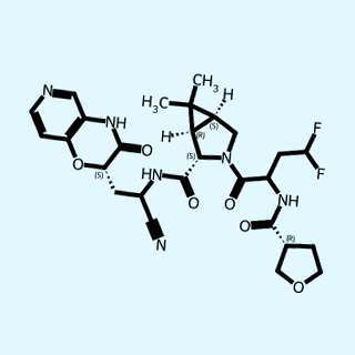 CC1(C)[C@@H]2[C@@H](C(=O)NC(C#N)C[C@@H]3Oc4ccncc4NC3=O)N(C(=O)C(CC(F)F)NC(=O)[C@@H]3CCOC3)C[C@@H]21